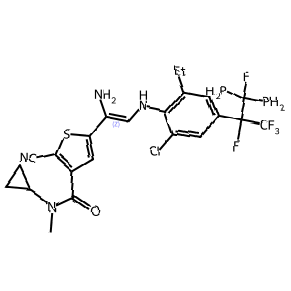 CCc1cc(C(F)(C(F)(F)F)C(F)(P)P)cc(Cl)c1N/C=C(\N)c1cc(C(=O)N(C)C2CC2)c(C#N)s1